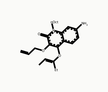 C=CCOc1c(OC(=CC)CC)c2ccc(N)cc2n(CCCCCCCC)c1=O